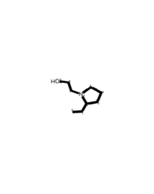 CCC1CCCN1CCO